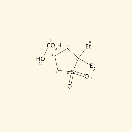 CCC1(CC)CCCS1(=O)=O.O=C(O)O